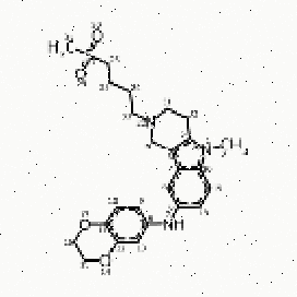 Cn1c2c(c3cc(Nc4ccc5c(c4)OCCO5)ccc31)CN(CCCCS(C)(=O)=O)CC2